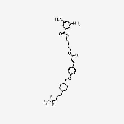 Nc1cc(N)cc(C(=O)OCCCCOC(=O)C=Cc2ccc(OCC3CCC(CCCC(F)(F)C(F)(F)F)CC3)cc2)c1